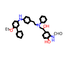 CCOc1ccc(Nc2ccc(CCN(C[C@@H](O)c3ccc(O)c(NC=O)c3)c3ccccc3)cc2)cc1-c1ccccc1